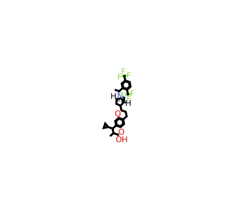 CC(C(=O)O)C(c1ccc2c(c1)OC(C1C[C@@H]3C[C@@H]1CN3C(C)c1cc(C(F)(F)F)ccc1C(F)(F)F)CC2)C1CC1